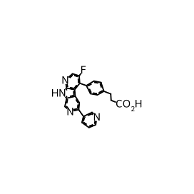 O=C(O)CCc1ccc(-c2c(F)cnc3[nH]c4cnc(-c5cccnc5)cc4c23)cc1